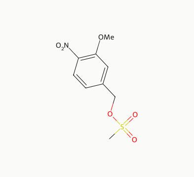 COc1cc(COS(C)(=O)=O)ccc1[N+](=O)[O-]